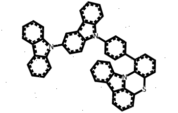 c1cc2c(c(-c3ccc(-n4c5ccccc5c5cc(-n6c7ccccc7c7ccccc76)ccc54)cc3)c1)-n1c3ccccc3c3cccc(c31)S2